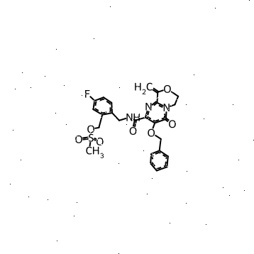 C=C1OCCn2c1nc(C(=O)NCc1ccc(F)cc1COS(C)(=O)=O)c(OCc1ccccc1)c2=O